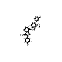 COc1cc(Nc2cccn3c(Br)c(-c4ccc(F)cc4)nc23)ccc1-n1cnc(C)c1